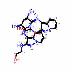 N=C1C=C(N)/C(=N/c2c(NCCO)nn3ccccc23)N/C1=N\c1c(NCCO)nn2ccccc12